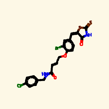 O=C(CCCOc1ccc(/C=C2/SC(=S)NC2=O)cc1Br)NCc1ccc(Cl)cc1